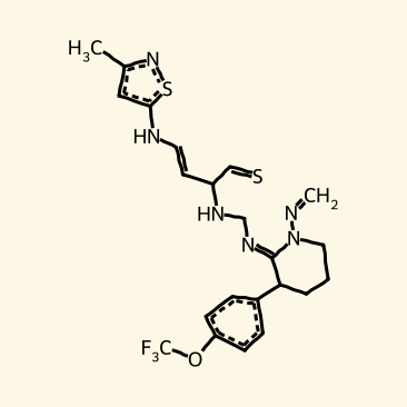 C=NN1CCCC(c2ccc(OC(F)(F)F)cc2)/C1=N/CNC(C=S)/C=C/Nc1cc(C)ns1